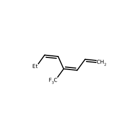 C=C/C=C(\C=C/CC)C(F)(F)F